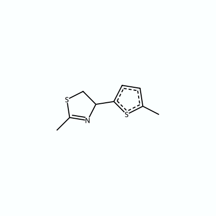 CC1=NC(c2ccc(C)s2)CS1